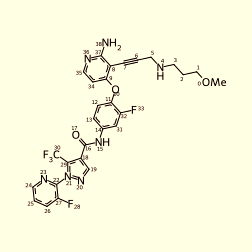 COCCCNCC#Cc1c(Oc2ccc(NC(=O)c3cnn(-c4ncccc4F)c3C(F)(F)F)cc2F)ccnc1N